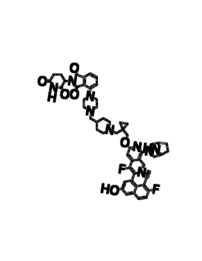 C#Cc1c(F)ccc2cc(O)cc(-c3ncc4c(N5CC6CCC(C5)N6)nc(OCC5(CN6CCC(CN7CCN(c8cccc9c8C(=O)N(C8CCC(=O)NC8=O)C9=O)CC7)CC6)CC5)cc4c3F)c12